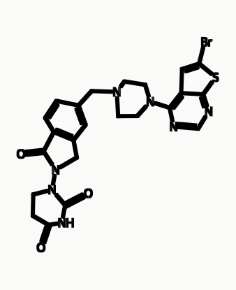 O=C1CCN(N2Cc3cc(CN4CCN(c5ncnc6sc(Br)cc56)CC4)ccc3C2=O)C(=O)N1